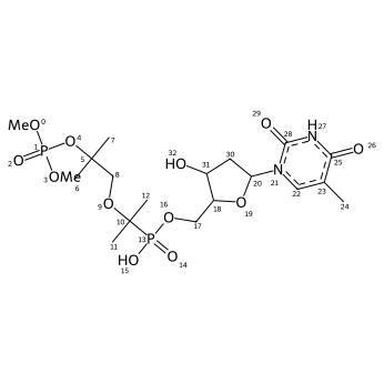 COP(=O)(OC)OC(C)(C)COC(C)(C)P(=O)(O)OCC1OC(n2cc(C)c(=O)[nH]c2=O)CC1O